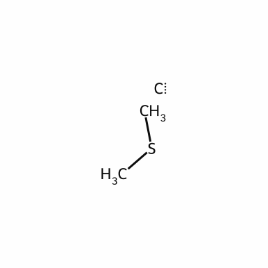 CSC.[C]